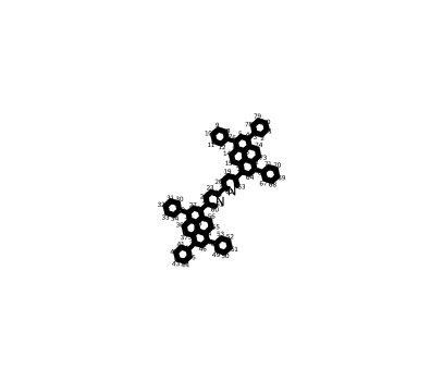 c1ccc(-c2cc(-c3ccccc3)c3ccc4c(-c5ccc(-c6ccc(-c7cc(-c8ccccc8)c8ccc9c(-c%10ccccc%10)cc(-c%10ccccc%10)c%10ccc7c8c9%10)cn6)nc5)cc(-c5ccccc5)c5ccc2c3c54)cc1